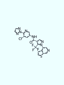 O=C(Nc1cnc(-n2nccn2)c(Cl)c1)c1cnn(-c2cncc3sccc23)c1C(F)(F)F